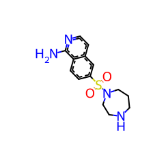 Nc1nccc2cc(S(=O)(=O)N3CCCNCC3)ccc12